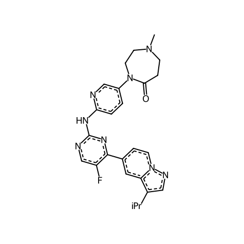 CC(C)c1cnn2ccc(-c3nc(Nc4ccc(N5CCN(C)CCC5=O)cn4)ncc3F)cc12